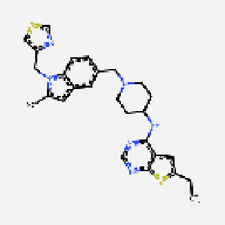 N#Cc1cc2cc(CN3CCC(Nc4ncnc5sc(CC(F)(F)F)cc45)CC3)ccc2n1Cc1cscn1